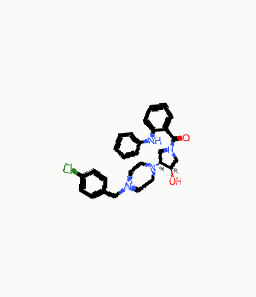 O=C(c1ccccc1Nc1ccccc1)N1C[C@@H](O)[C@H](N2CCN(Cc3ccc(Cl)cc3)CC2)C1